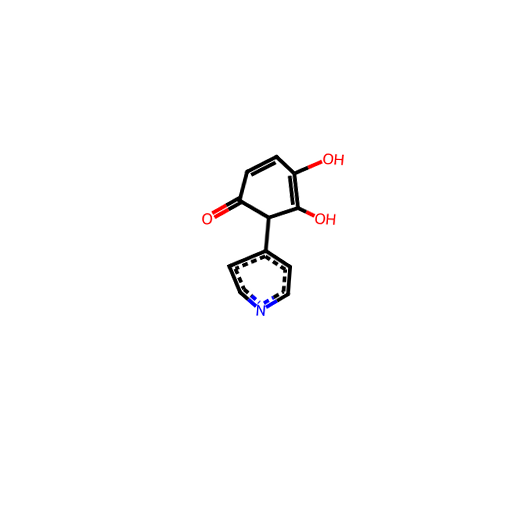 O=C1C=CC(O)=C(O)C1c1ccncc1